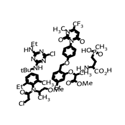 CCNc1nc(Cl)nc(NC(C)(C)C)n1.CCc1ccc(COc2ccc(-n3c(=O)cc(C(F)(F)F)n(C)c3=O)cc2)c(OC(C)C(=O)OC)c1.CCc1cccc(C)c1N(C(=O)CCl)C(C)COC.CP(=O)(O)CCC(N)C(=O)O